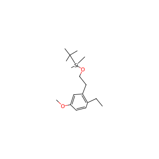 CCc1ccc(OC)cc1CCO[Si](C)(C)C(C)(C)C